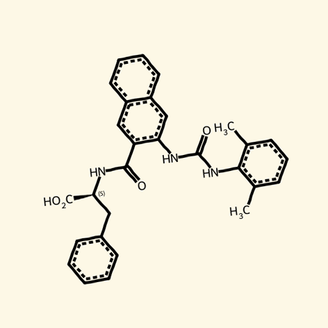 Cc1cccc(C)c1NC(=O)Nc1cc2ccccc2cc1C(=O)N[C@@H](Cc1ccccc1)C(=O)O